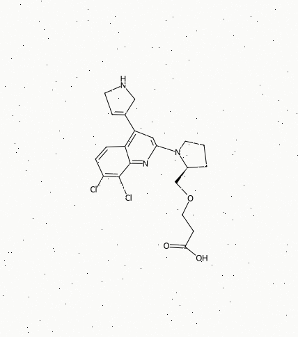 O=C(O)CCOC[C@@H]1CCCN1c1cc(C2=CCNC2)c2ccc(Cl)c(Cl)c2n1